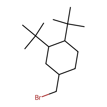 CC(C)(C)C1CCC(CBr)CC1C(C)(C)C